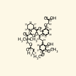 C=CC(=O)OCC(C)(C)C(=O)C(=O)N1CCCC[C@H]1C(=O)OC(CCc1ccc(OC)c(OC)c1O)c1cccc(OCC(=O)O)c1